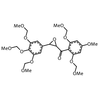 COCOc1cc(C2OC2C(=O)c2c(OCOC)cc(OC)cc2OCOC)cc(OCOC)c1OCOC